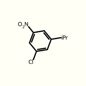 [CH2]C(C)c1cc(Cl)cc([N+](=O)[O-])c1